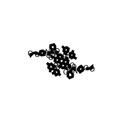 Cc1cccc(Oc2cc3c4c(cc(Oc5cc(C)cc(C)c5)c5c6c(Oc7cc(C)cc(C)c7)cc7c8c(cc(Oc9cc(C)cc(C)c9)c(c2c45)c86)C(=O)N(C(C(=O)Nc2ccc(OCC4CO4)cc2)C2CCCCC2)C7=O)C(=O)N(C(C(=O)Nc2ccc(OCC4CO4)cc2)C2CCCCC2)C3=O)c1